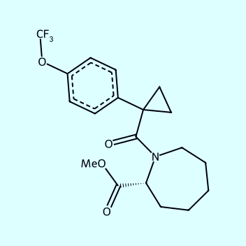 COC(=O)[C@H]1CCCCCN1C(=O)C1(c2ccc(OC(F)(F)F)cc2)CC1